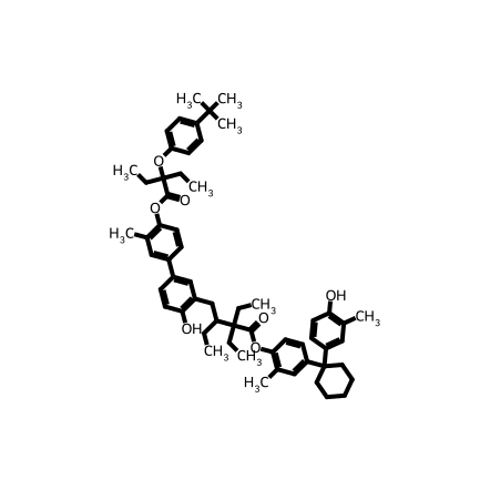 CCC(Cc1cc(-c2ccc(OC(=O)C(CC)(CC)Oc3ccc(C(C)(C)C)cc3)c(C)c2)ccc1O)C(CC)(CC)C(=O)Oc1ccc(C2(c3ccc(O)c(C)c3)CCCCC2)cc1C